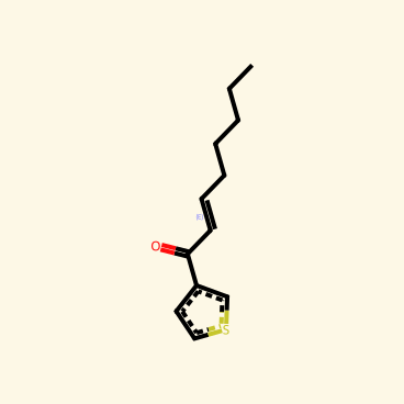 CCCCC/C=C/C(=O)c1ccsc1